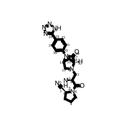 N#C[C@@H]1CCCN1C(=O)[C@@H](N)CN1CC2C[C@H]1C(=O)N2c1ccc(-c2nnn[nH]2)cc1